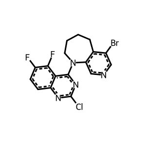 Fc1ccc2nc(Cl)nc(N3CCCCc4c(Br)cncc43)c2c1F